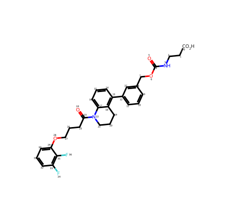 O=C(O)CCNC(=O)OCc1cccc(-c2cccc3c2CCCN3C(=O)CCCOc2cccc(F)c2F)c1